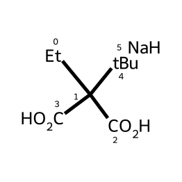 CCC(C(=O)O)(C(=O)O)C(C)(C)C.[NaH]